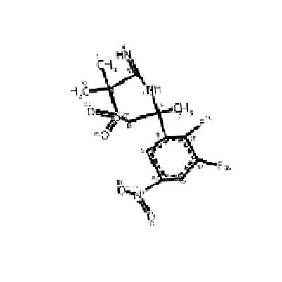 CC1(C)C(=N)N[C@](C)(c2cc([N+](=O)[O-])cc(F)c2F)CS1(=O)=O